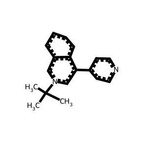 CC(C)(C)[n+]1cc(-c2ccncc2)c2ccccc2c1